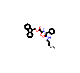 C=CCCNC(=O)[C@H](NC(=O)C(=O)OCC1c2ccccc2-c2ccccc21)c1ccccc1